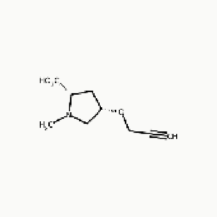 C#CCO[C@H]1C[C@@H](C(=O)O)N(C)C1